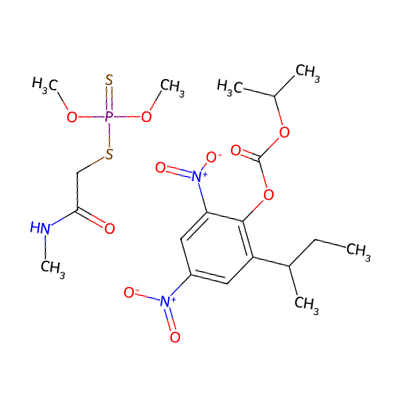 CCC(C)c1cc([N+](=O)[O-])cc([N+](=O)[O-])c1OC(=O)OC(C)C.CNC(=O)CSP(=S)(OC)OC